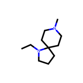 CCN1CCCC12CCN(C)CC2